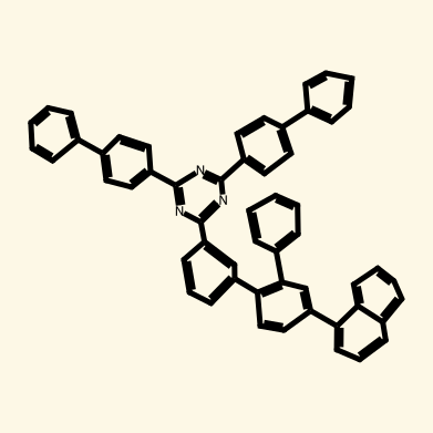 c1ccc(-c2ccc(-c3nc(-c4ccc(-c5ccccc5)cc4)nc(-c4cccc(-c5ccc(-c6cccc7ccccc67)cc5-c5ccccc5)c4)n3)cc2)cc1